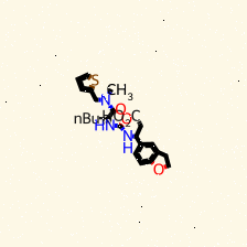 CCCC[C@H](NC(=O)NC(CC(=O)O)c1ccc2c(c1)CCO2)C(=O)N(C)Cc1cccs1